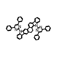 c1ccc(-c2cc(-c3ccccc3)nc(-n3c4ccccc4c4cc5c(cc43)-c3ccc4c6ccccc6n(-c6nc(-c7ccccc7)cc(-c7ccccc7)n6)c4c3CC5)n2)cc1